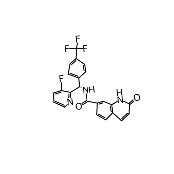 O=C(N[C@@H](c1ccc(C(F)(F)F)cc1)c1ncccc1F)c1ccc2ccc(=O)[nH]c2c1